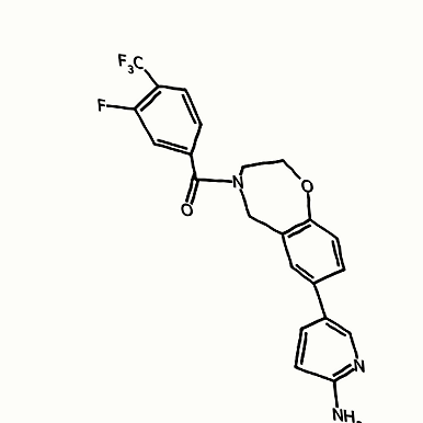 Nc1ccc(-c2ccc3c(c2)CN(C(=O)c2ccc(C(F)(F)F)c(F)c2)CCO3)cn1